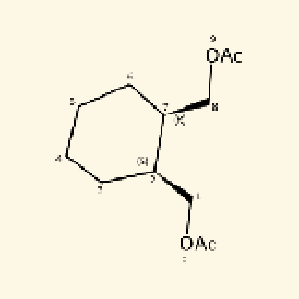 CC(=O)OC[C@H]1CCCC[C@H]1COC(C)=O